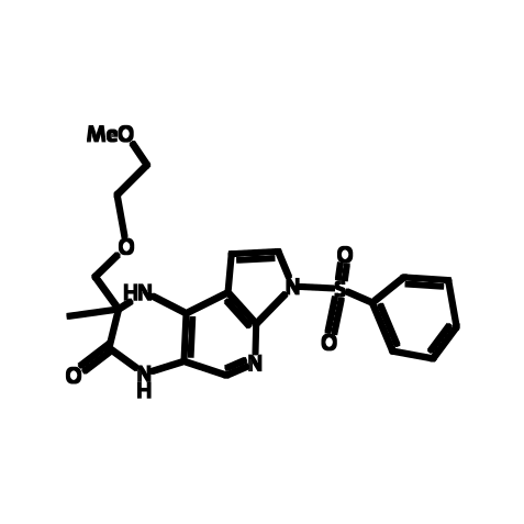 COCCOCC1(C)Nc2c(cnc3c2ccn3S(=O)(=O)c2ccccc2)NC1=O